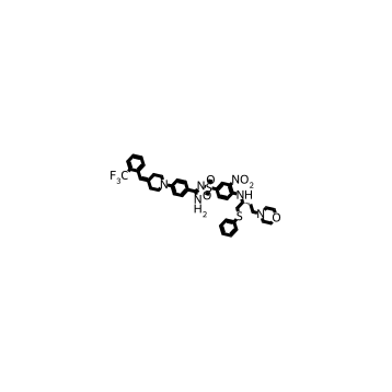 N/C(=N\S(=O)(=O)c1ccc(N[C@H](CCN2CCOCC2)CSc2ccccc2)c([N+](=O)[O-])c1)c1ccc(N2CCC(=Cc3ccccc3C(F)(F)F)CC2)cc1